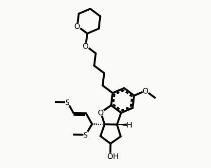 COc1cc(CCCCOC2CCCCO2)c2c(c1)[C@@H]1CC(O)C[C@@]1(C(C=CSC)SC)O2